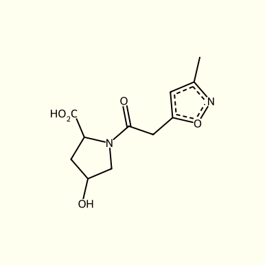 Cc1cc(CC(=O)N2CC(O)CC2C(=O)O)on1